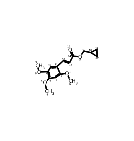 COc1cc(OC)c(OC)cc1C=CC(=O)OCC1CC1